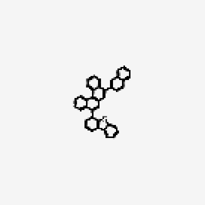 C1=Cc2c(sc3ccccc23)C(c2cc3cc(-c4ccc5ccccc5c4)c4ccccc4c3c3ccccc23)C1